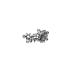 C=CC1(COP(=O)(O)OP(=O)(O)OP(=O)(O)O)O[C@@H](n2ccc(=O)[nH]c2=O)C(F)(F)[C@@H]1O